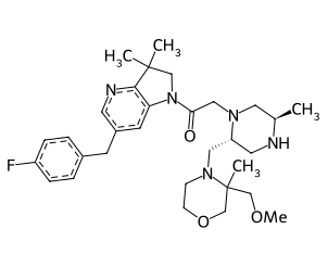 COCC1(C)COCCN1C[C@H]1CN[C@H](C)CN1CC(=O)N1CC(C)(C)c2ncc(Cc3ccc(F)cc3)cc21